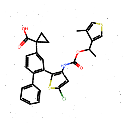 Cc1cscc1C(C)OC(=O)Nc1cc(Cl)sc1-c1cc(C2(C(=O)O)CC2)ccc1-c1ccccc1